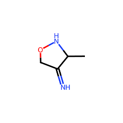 CC1NOCC1=N